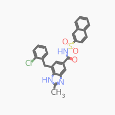 Cc1nc2cc(C(=O)NS(=O)(=O)c3ccc4ccccc4c3)cc(Cc3ccccc3Cl)c2[nH]1